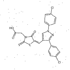 O=C(O)CN1C(=O)/C(=C\c2cn(-c3ccc(Cl)cc3)nc2-c2ccc(Cl)cc2)SC1=S